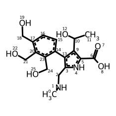 CNCc1[nH]c(C(=O)O)c(C(C)O)c1-c1ccc(CO)c(CO)c1CO